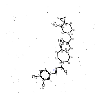 O=C(/C=C/c1ccc(Cl)c(Cl)c1)N1CCC(=O)N(CC(O)CN2CCC3(CC3)[C@H](O)C2)CC1